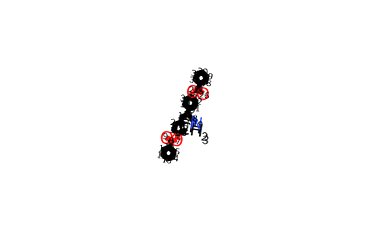 C=C(/C=C\C(=C/C)OC(=O)c1ccccc1)CC(C#N)c1ccc(OC(=O)c2ccccc2)cc1